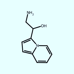 NCC(O)c1ccc2ccccn12